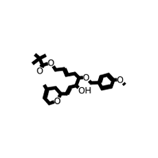 COc1ccc(COC(CC=CCOC(=O)C(C)(C)C)C(O)C=CC2CC(C)=CCO2)cc1